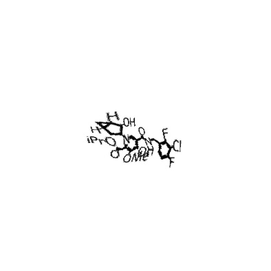 COc1c(C(=O)OC(C)C)n([C@H]2C[C@@H]3C[C@@H]3[C@@H]2O)cc(C(=O)NCc2ccc(F)c(Cl)c2F)c1=O